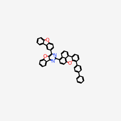 c1ccc(-c2ccc(-c3cccc4c3Oc3ccc(-c5nc(-c6ccc7oc8ccccc8c7c6)c6oc7ccccc7c6n5)c5cccc-4c35)cc2)cc1